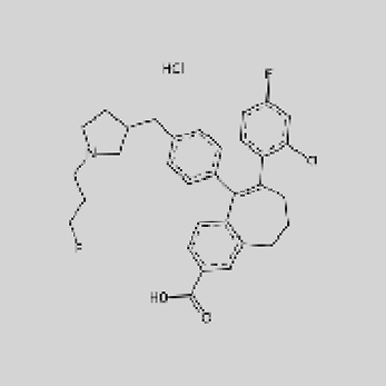 Cl.O=C(O)c1ccc2c(c1)CCCC(c1ccc(F)cc1Cl)=C2c1ccc(CC2CCN(CCCF)C2)cc1